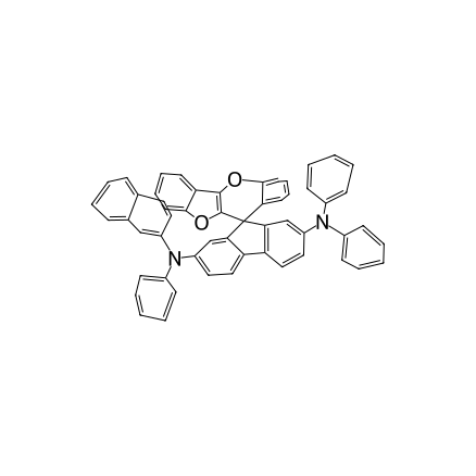 c1ccc(N(c2ccccc2)c2ccc3c(c2)C2(c4ccccc4Oc4c2oc2ccccc42)c2cc(N(c4ccccc4)c4ccc5ccccc5c4)ccc2-3)cc1